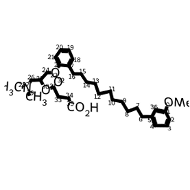 COc1cccc(CCCCCCCCCCCc2ccccc2OCC(CN(C)C)OC(=O)CCC(=O)O)c1